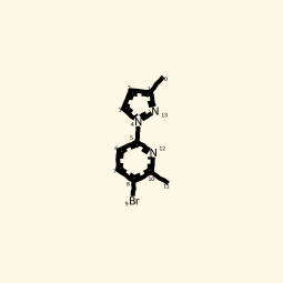 Cc1ccn(-c2ccc(Br)c(C)n2)n1